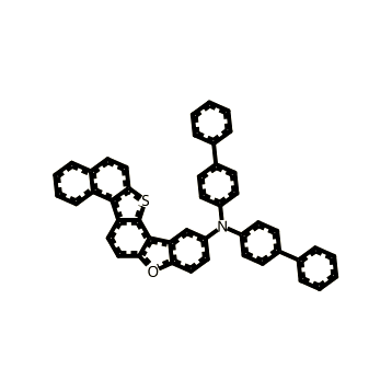 c1ccc(-c2ccc(N(c3ccc(-c4ccccc4)cc3)c3ccc4oc5ccc6c(sc7ccc8ccccc8c76)c5c4c3)cc2)cc1